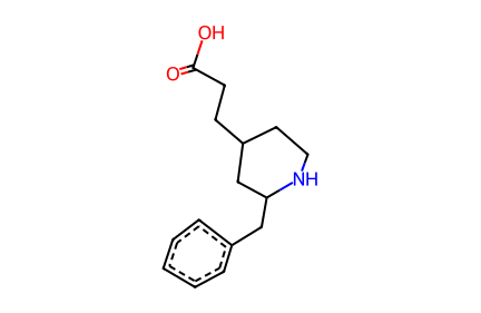 O=C(O)CCC1CCNC(Cc2ccccc2)C1